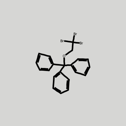 BrC(Br)(Br)COC(c1ccccc1)(c1ccccc1)c1ccccc1